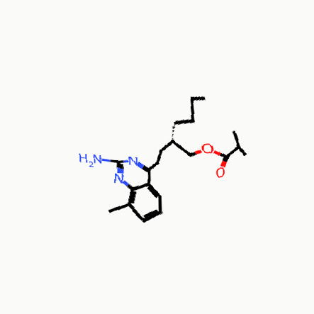 CCCC[C@@H](CCc1nc(N)nc2c(C)cccc12)COC(=O)C(C)C